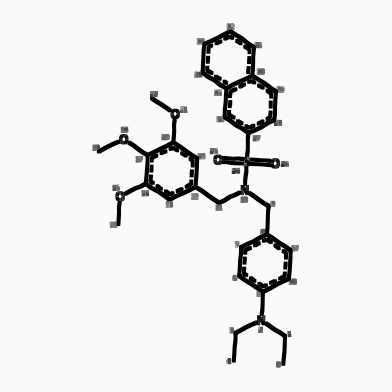 CCN(CC)c1ccc(CN(Cc2cc(OC)c(OC)c(OC)c2)S(=O)(=O)c2ccc3ccccc3c2)cc1